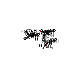 CC1(C)OC2C(C(=O)Nc3cccc(C(=O)O)c3)OC(n3cnc4c(NC(=O)Nc5ccccc5)ncnc43)C2O1.CC1(C)OC2C(COc3ncccc3O)OC(n3cnc4c(NC(=O)Nc5ccccc5)ncnc43)C2O1.O=C(Nc1ccccc1)Nc1ncnc2c1ncn2C1OC(C(=O)NC(CO)C(=O)O)C2OC(Cc3ccccc3)OC21